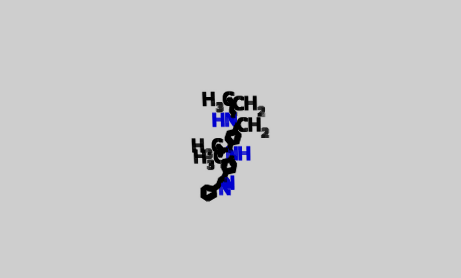 C=C(C)CCNC(=C)c1ccc(C(Nc2ccc(C3=NN=C(c4ccccc4)C3)cc2)C(C)C)cc1